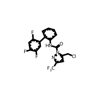 O=C(Nc1ccccc1-c1cc(F)c(F)cc1F)n1nc(C(F)(F)F)[c]c1CCl